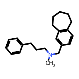 CN(CCCc1ccccc1)Cc1ccc2c(c1)CCCCC2